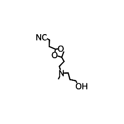 CN(CCCO)CCC1COC(CCC#N)O1